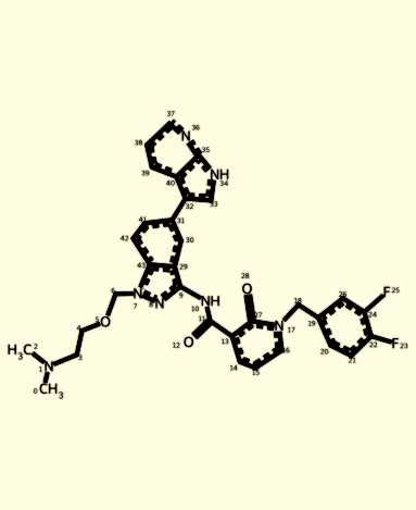 CN(C)CCOCn1nc(NC(=O)c2cccn(Cc3ccc(F)c(F)c3)c2=O)c2cc(-c3c[nH]c4ncccc34)ccc21